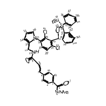 CNC(=O)c1ccc(/C=C/C(=O)NCc2cccn2-c2ccc(Cl)c(CO[Si](c3ccccc3)(c3ccccc3)C(C)(C)C)c2Cl)cc1